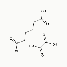 O=C(O)C(=O)O.O=C(O)CCCCC(=O)O